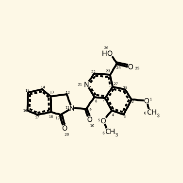 COc1cc(OC)c2c(C(=O)N3Cc4ccccc4C3=O)ncc(C(=O)O)c2c1